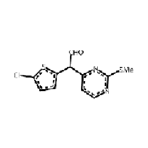 CSc1nccc(C(C=O)c2ccc(Cl)s2)n1